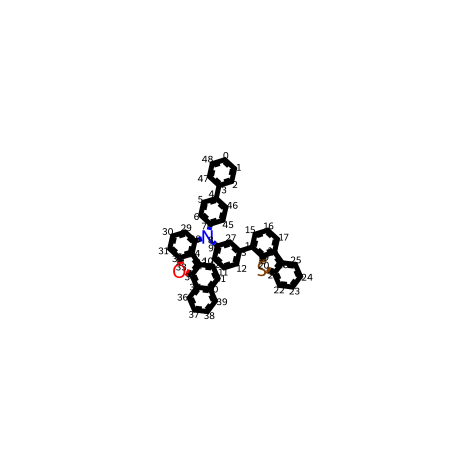 c1ccc(-c2ccc(N(c3cccc(-c4cccc5c4sc4ccccc45)c3)c3cccc4oc5c6ccccc6ccc5c34)cc2)cc1